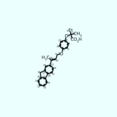 CCC(C)(Oc1ccc(OC/C=C(\C)c2ccc3c(c2)Cc2ccccc2-3)cc1)C(=O)O